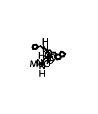 COC(=O)[C@H](Cc1c[nH]cn1)NC(=O)C(CC(=O)NCCc1ccccc1)Cc1cccc2ccccc12